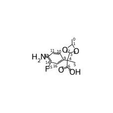 CC1OC(C(C)(C(=O)O)c2ccc(N)c(F)c2)O1